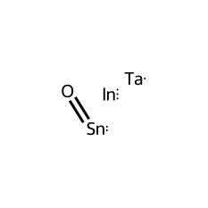 [In].[O]=[Sn].[Ta]